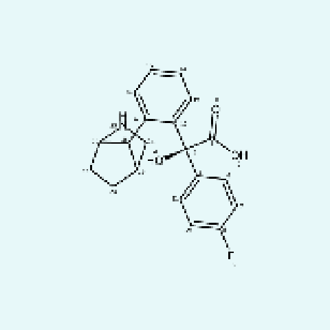 O=C(O)[C@](O)(c1ccc(F)cc1)c1ccccc1C1C2CCC1NC2